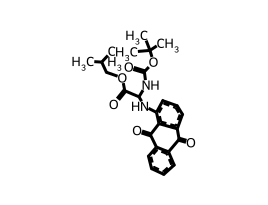 CC(C)COC(=O)C(NC(=O)OC(C)(C)C)Nc1cccc2c1C(=O)c1ccccc1C2=O